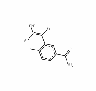 CCCC(CCC)=C(CC)c1cc(C(N)=O)ccc1C